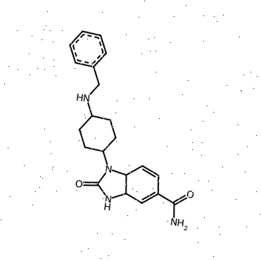 NC(=O)C1=CC2NC(=O)N(C3CCC(NCc4ccccc4)CC3)C2C=C1